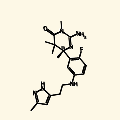 Cc1cc(CCNc2ccc(F)c([C@@]3(C)N=C(N)N(C)C(=O)C3(C)C)c2)[nH]n1